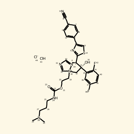 C[C@@H](c1nc(-c2ccc(C#N)cc2)cs1)[C@](O)(C[N+]1(CCOC(=O)NCCCN(C)C)C=NC=N1)c1cc(F)ccc1F.Cl.[Cl-]